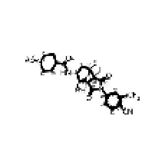 CC(=O)N1CCC(C(=O)N[C@@H]2C[C@@]3(C)O[C@]2(C)[C@@H]2C(=O)N(c4ccc(C#N)c(C(F)(F)F)c4)C(=O)[C@@H]23)CC1